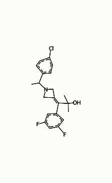 CC(c1ccc(Cl)cc1)N1CC(=C(c2cc(F)cc(F)c2)C(C)(C)O)C1